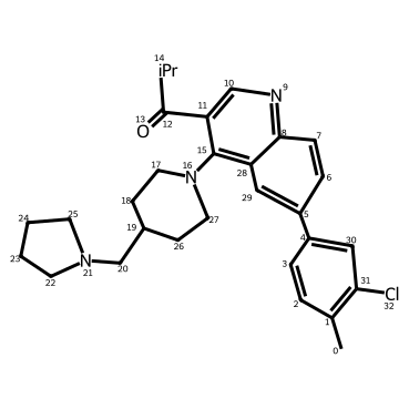 Cc1ccc(-c2ccc3ncc(C(=O)C(C)C)c(N4CCC(CN5CCCC5)CC4)c3c2)cc1Cl